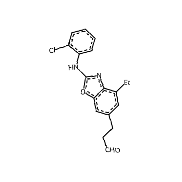 CCc1cc(CCC=O)cc2oc(Nc3ccccc3Cl)nc12